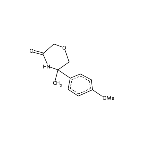 COc1ccc(C2(C)COCC(=O)N2)cc1